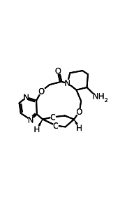 NC1CCCN2C(=O)COc3nccnc3[C@H]3CC[C@H](CC3)OCC12